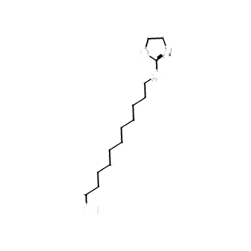 CCCCCCCCCCCCOC1=NCCO1